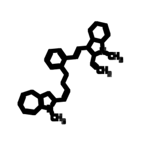 C=CC1C(/C=C/c2ccccc2CC/C=C\C2CC3=C(C=CC=CC3)N2C)C2CCC=CC2N1C